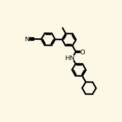 Cc1ccc(C(=O)Nc2ccc(C3CCCCC3)cc2)cc1-c1ccc(C#N)cc1